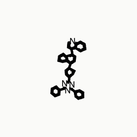 c1ccc(-c2nc(-c3ccccc3)nc(-c3ccc(-c4ccc(-c5ccnc6ccccc56)c5ccccc45)cc3)n2)cc1